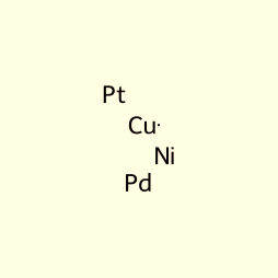 [Cu].[Ni].[Pd].[Pt]